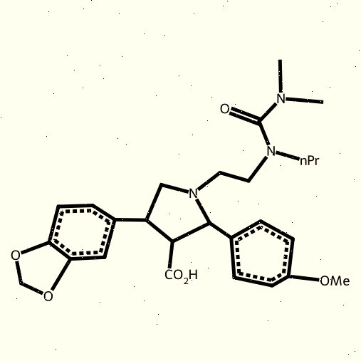 CCCN(CCN1CC(c2ccc3c(c2)OCO3)C(C(=O)O)C1c1ccc(OC)cc1)C(=O)N(C)C